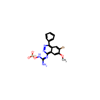 COc1cc2c(N=C(N)NO[Br+2]([O-])[O-])nnc(-c3ccccc3)c2cc1Br